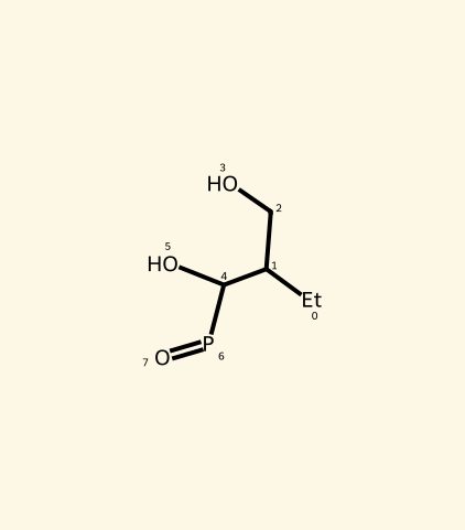 CCC(CO)C(O)P=O